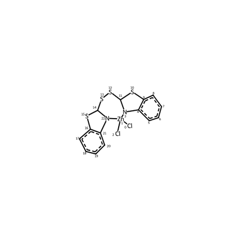 [Cl][Zn]1([Cl])[N]2c3ccccc3SC2SSC2Sc3ccccc3[N]21